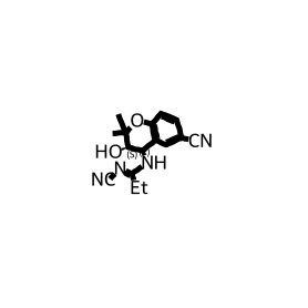 CCC(=NC#N)N[C@@H]1c2cc(C#N)ccc2OC(C)(C)[C@H]1O